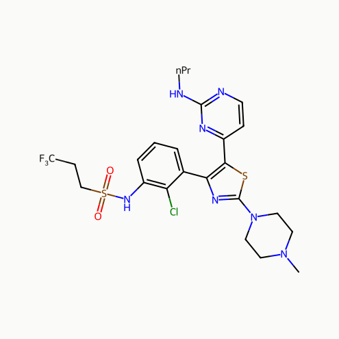 CCCNc1nccc(-c2sc(N3CCN(C)CC3)nc2-c2cccc(NS(=O)(=O)CCC(F)(F)F)c2Cl)n1